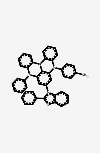 Cc1ccc(N2c3ccccc3B3c4ccccc4N(c4ccccc4)c4cc(-n5c(-c6ccccc6)nc6ccccc65)cc2c43)cc1